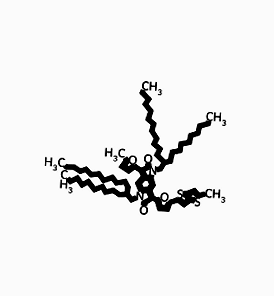 CCCCCCCCCCCCC(CCCCCCCCCC)CN1C(=O)C(c2ccc(C)o2)=c2cc3c(cc21)=C(c1ccc(-c2cc4sc(C)cc4s2)o1)C(=O)N3CC(CCCCCCCCCC)CCCCCCCCCCCC